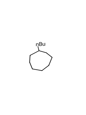 CC[CH]CC1CCCCCCC1